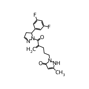 C=C(CCCn1[nH]c(C)cc1=O)C(=O)N1N=CCC1c1cc(F)cc(F)c1